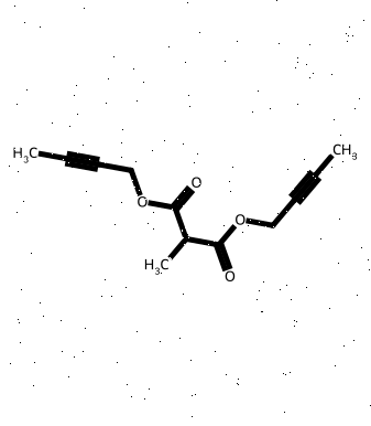 CC#CCOC(=O)C(C)C(=O)OCC#CC